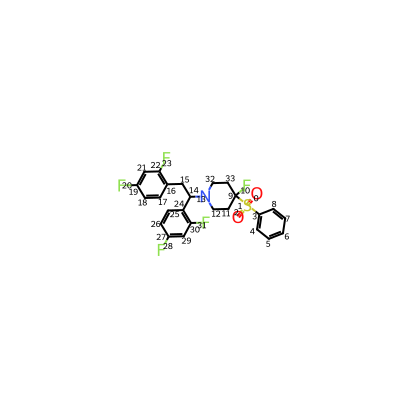 O=S(=O)(c1ccccc1)C1(F)CCN(C(Cc2ccc(F)cc2F)c2ccc(F)cc2F)CC1